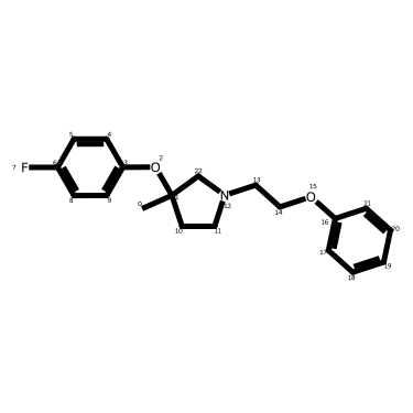 CC1(Oc2ccc(F)cc2)CCN(CCOc2ccccc2)C1